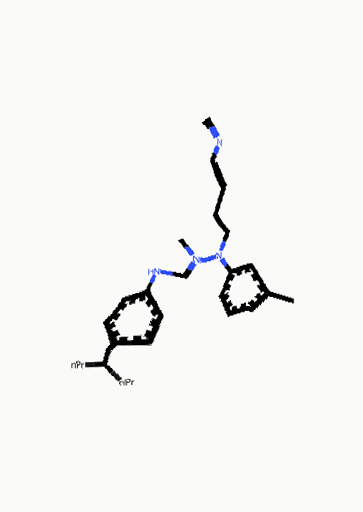 C=N/C=C/CCN(c1cccc(C)c1)N(C)CNc1ccc(C(CCC)CCC)cc1